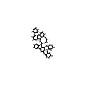 C1=C(n2c3ccccc3c3cc4c5c(c32)Oc2ccccc2N5c2ccccc2O4)\N=C(\c2cccc3c2sc2ccccc23)c2ccccc2CCC/1